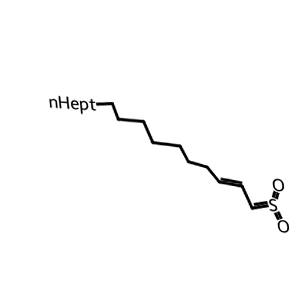 CCCCCCCCCCCCCCC=CC=S(=O)=O